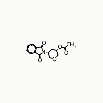 CC(=O)O[C@@H]1COC[C@H](N2C(=O)c3ccccc3C2=O)C1